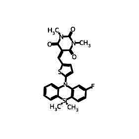 CN1C(=O)C(=Cc2ccc(N3c4ccccc4[Si](C)(C)c4ccc(F)cc43)s2)C(=O)N(C)C1=O